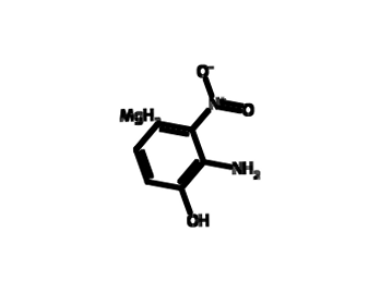 Nc1c(O)cccc1[N+](=O)[O-].[MgH2]